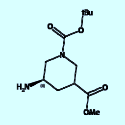 COC(=O)C1C[C@@H](N)CN(C(=O)OC(C)(C)C)C1